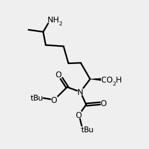 CC(N)CCCC[C@@H](C(=O)O)N(C(=O)OC(C)(C)C)C(=O)OC(C)(C)C